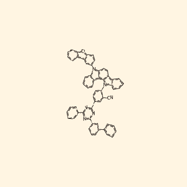 N#Cc1cc(-c2nc(-c3ccccc3)nc(-c3cccc(-c4ccccc4)c3)n2)ccc1-n1c2ccccc2c2ccc3c(c4ccccc4n3-c3ccc4oc5ccccc5c4c3)c21